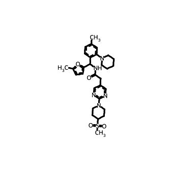 Cc1ccc(C(NC(=O)Cc2cnc(N3CCC(S(C)(=O)=O)CC3)nc2)c2ccc(C)o2)c(N2CCCCC2)c1